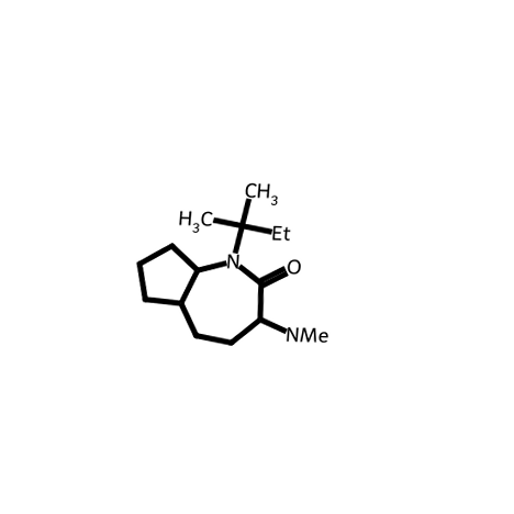 CCC(C)(C)N1C(=O)C(NC)CCC2CCCC21